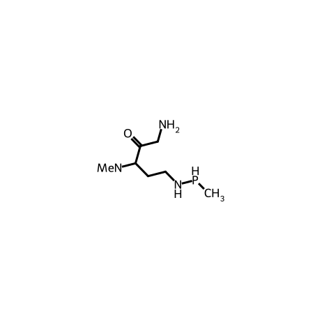 CNC(CCNPC)C(=O)CN